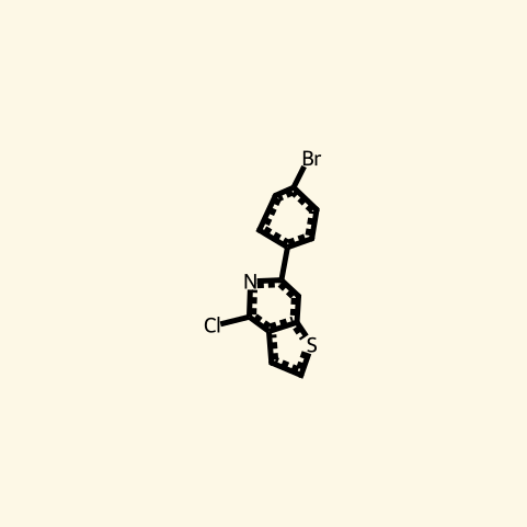 Clc1nc(-c2ccc(Br)cc2)cc2sccc12